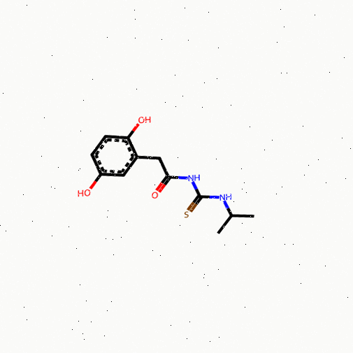 CC(C)NC(=S)NC(=O)Cc1cc(O)ccc1O